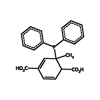 CC1(P(c2ccccc2)c2ccccc2)C=C(C(=O)O)C=CC1C(=O)O